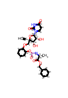 C#C[C@]1(COc2ccccc2O/[P+]([O-])=N/[C@H](C)C(=O)OCc2ccccc2)O[C@@H](n2ccc(=O)[nH]c2=O)[C@H](O)[C@@H]1O